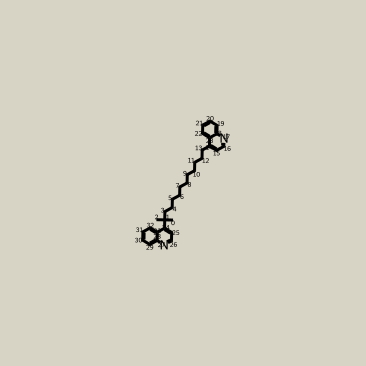 CC(C)(CCCCCCCCCCCc1ccnc2ccccc12)c1ccnc2ccccc12